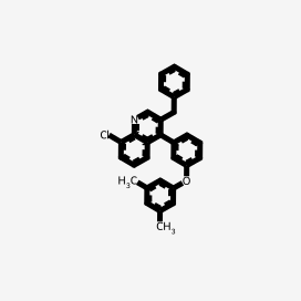 Cc1cc(C)cc(Oc2cccc(-c3c(Cc4ccccc4)cnc4c(Cl)cccc34)c2)c1